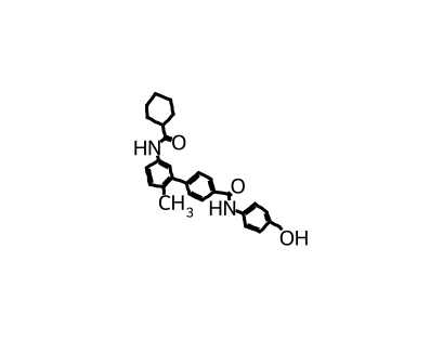 Cc1ccc(NC(=O)C2CCCCC2)cc1-c1ccc(C(=O)Nc2ccc(CO)cc2)cc1